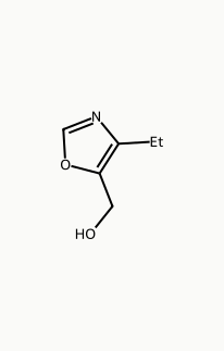 CCc1ncoc1CO